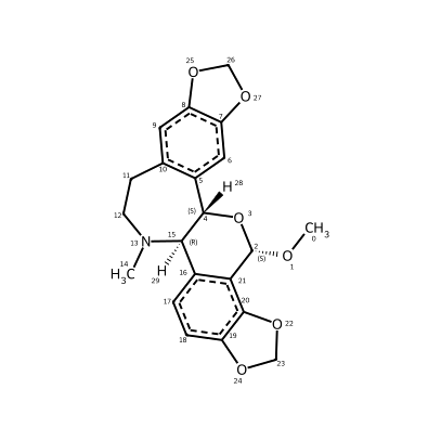 CO[C@H]1O[C@H]2c3cc4c(cc3CCN(C)[C@@H]2c2ccc3c(c21)OCO3)OCO4